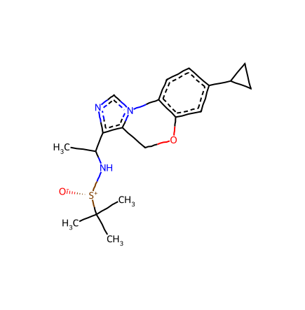 CC(N[S@@+]([O-])C(C)(C)C)c1ncn2c1COc1cc(C3CC3)ccc1-2